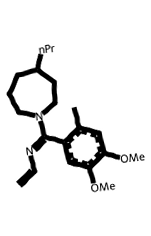 C=C/N=C(\c1cc(OC)c(OC)cc1C)N1CCCC(CCC)CC1